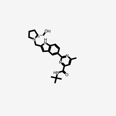 Cc1cc(C(=O)NC(C)(C)C)nc(-c2ccc3[nH]c(CN4CCC[C@@H]4CO)cc3c2)n1